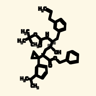 C=CCc1cccc(C[C@H](NC(=O)OC(C)(C)C)[C@@H](O)CN(C(=O)OCc2ccccc2)C2(c3cccc(C(C)C)c3)CC2)c1